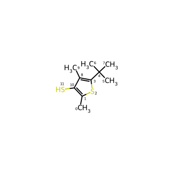 Cc1sc(C(C)(C)C)c(C)c1S